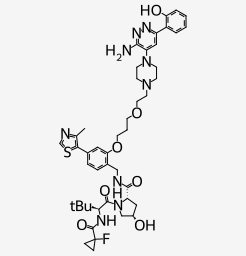 Cc1ncsc1-c1ccc(CNC(=O)[C@@H]2C[C@@H](O)CN2C(=O)[C@@H](NC(=O)C2(F)CC2)C(C)(C)C)c(OCCCOCCN2CCN(c3cc(-c4ccccc4O)nnc3N)CC2)c1